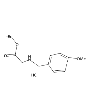 COc1ccc(CNCC(=O)OC(C)(C)C)cc1.Cl